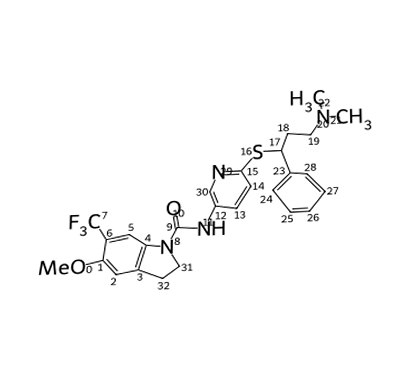 COc1cc2c(cc1C(F)(F)F)N(C(=O)Nc1ccc(SC(CCN(C)C)c3ccccc3)nc1)CC2